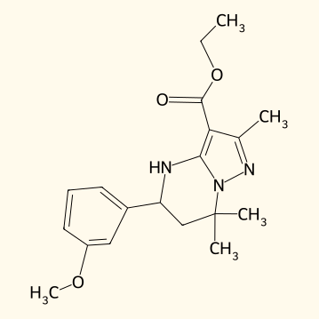 CCOC(=O)c1c(C)nn2c1NC(c1cccc(OC)c1)CC2(C)C